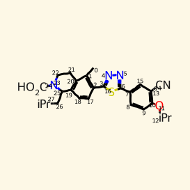 Cc1c(-c2nnc(-c3ccc(OC(C)C)c(C#N)c3)s2)ccc2c1CCN(C(=O)O)C2CC(C)C